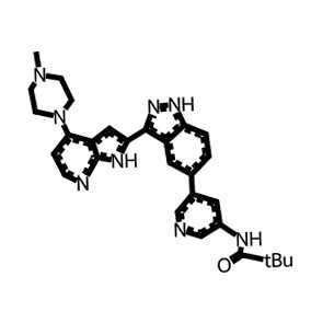 CN1CCN(c2ccnc3[nH]c(-c4n[nH]c5ccc(-c6cncc(NC(=O)C(C)(C)C)c6)cc45)cc23)CC1